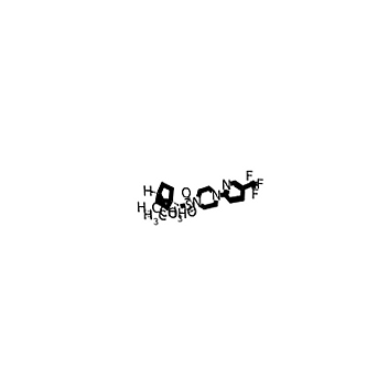 CC1(O)C[C@H]2CC[C@]1(CS(=O)(=O)N1CCN(c3ccc(C(F)(F)F)cn3)CC1)C2(C)C